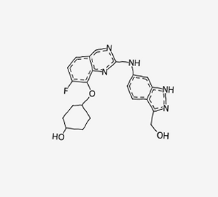 OCc1n[nH]c2cc(Nc3ncc4ccc(F)c(OC5CCC(O)CC5)c4n3)ccc12